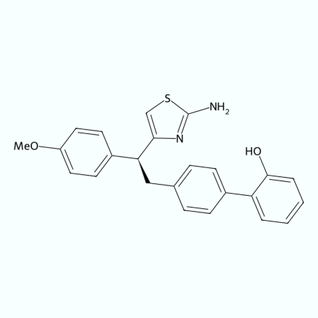 COc1ccc([C@H](Cc2ccc(-c3ccccc3O)cc2)c2csc(N)n2)cc1